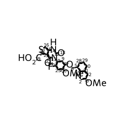 COc1cnc2c(COc3cc(-n4c(=O)[nH]c5csc(C(=O)O)c5c4=O)c(F)cc3OC)cccc2c1